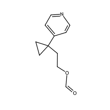 O=COCCC1(c2ccncc2)CC1